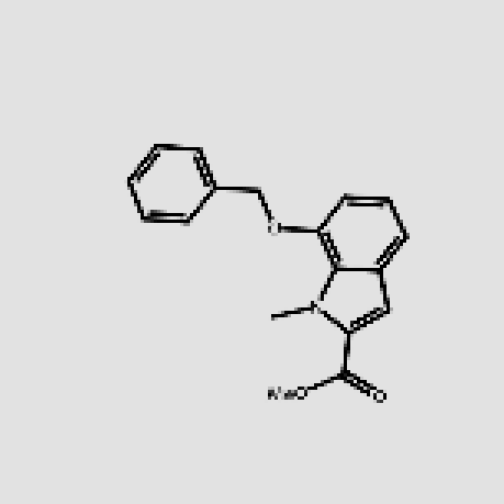 COC(=O)c1cc2cccc(OCc3ccccc3)c2n1C